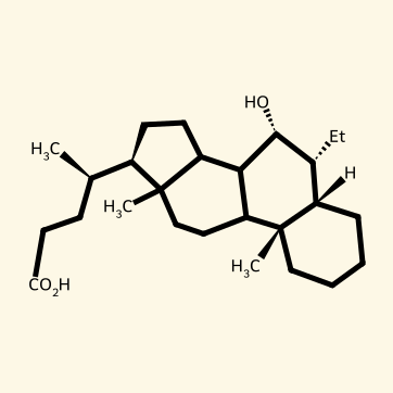 CC[C@H]1[C@@H](O)C2C3CC[C@H]([C@H](C)CCC(=O)O)C3(C)CCC2[C@@]2(C)CCCC[C@@H]12